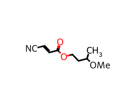 COC(C)CCOC(=O)C=CC#N